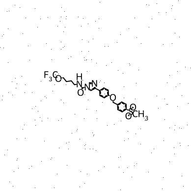 CS(=O)(=O)c1ccc(COc2ccc(-c3cn(C(=O)NCCCCOC(F)(F)F)cn3)cc2)cc1